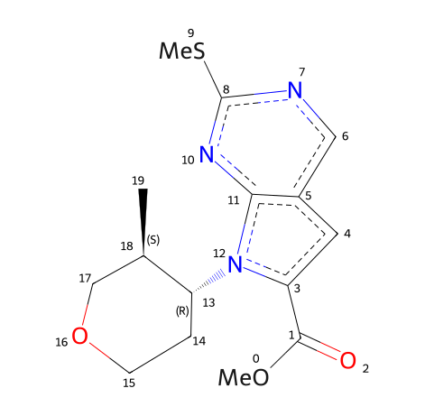 COC(=O)c1cc2cnc(SC)nc2n1[C@@H]1CCOC[C@H]1C